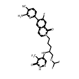 N#Cc1ccc(-c2cc3ccn(CCCC(COC(F)F)Nc4cn[nH]c(=O)c4C(F)(F)F)c(=O)c3cc2F)nc1N